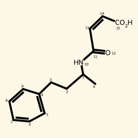 CC(CCc1ccccc1)NC(=O)/C=C\C(=O)O